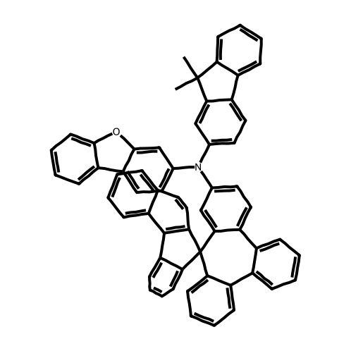 CC1(C)c2ccccc2-c2ccc(N(c3ccc4c(c3)C3(c5ccccc5-c5ccccc5-4)c4ccccc4-c4c3ccc3ccccc43)c3ccc4c(c3)oc3ccccc34)cc21